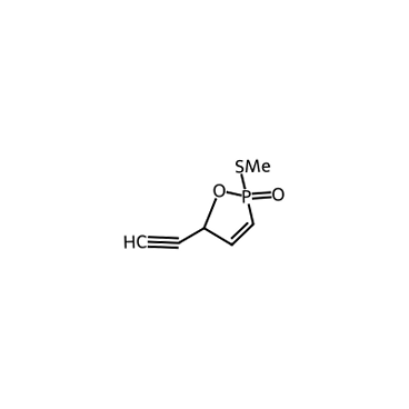 C#CC1C=CP(=O)(SC)O1